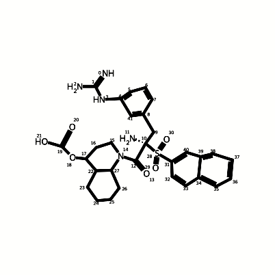 N=C(N)Nc1cccc(C[C@](N)(C(=O)N2CCC(OC(=O)O)C3CCCCC32)S(=O)(=O)c2ccc3ccccc3c2)c1